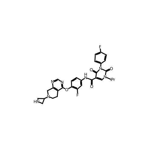 CC(C)n1cc(C(=O)Nc2ccc(Oc3ncnc4c3CCN(C3CNC3)C4)c(F)c2)c(=O)n(-c2ccc(F)cc2)c1=O